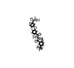 CNC(=O)c1cc(Oc2cccc(C(=O)NNC(=O)c3cc(C(F)(F)F)ccc3F)c2)ccn1